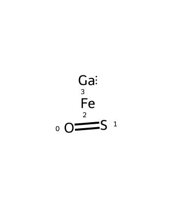 O=S.[Fe].[Ga]